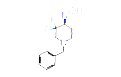 ON=C1CCN(Cc2ccccc2)CC1(F)F